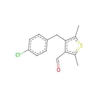 Cc1sc(C)c(Cc2ccc(Cl)cc2)c1C=O